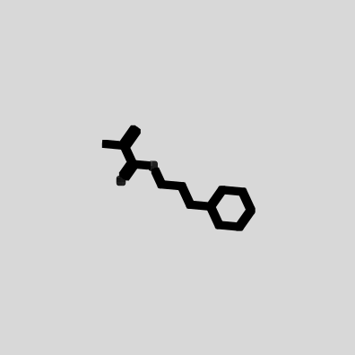 C=C(C)C(=O)OCCC[C]1CCCCC1